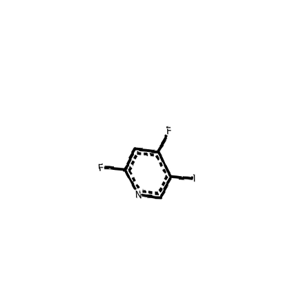 Fc1cc(F)c(I)cn1